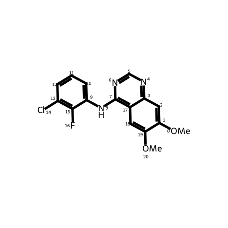 COc1cc2ncnc(Nc3cccc(Cl)c3F)c2cc1OC